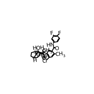 Cc1cc(Cl)c(S(=O)(=O)[C@H]2C[C@H]3CC[C@@H](C2)[C@@]3(O)[C@H](O)[C@H](C)O)cc1C(=O)Nc1ccc(F)c(F)c1